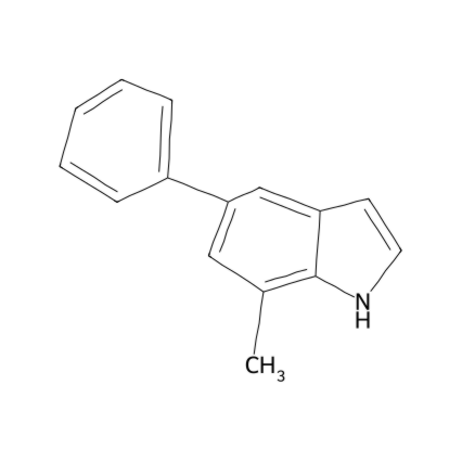 Cc1cc(-c2ccccc2)cc2cc[nH]c12